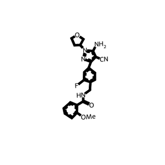 COc1ccccc1C(=O)NCc1ccc(-c2nn(C3CCOC3)c(N)c2C#N)cc1F